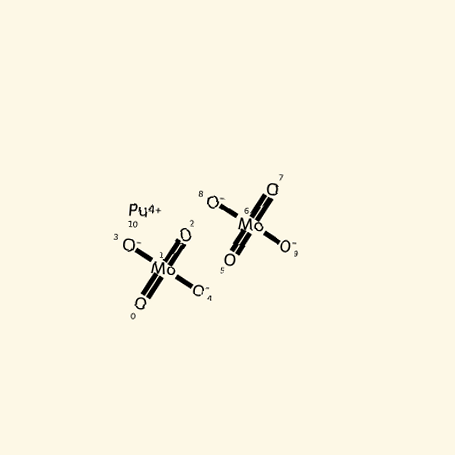 [O]=[Mo](=[O])([O-])[O-].[O]=[Mo](=[O])([O-])[O-].[Pu+4]